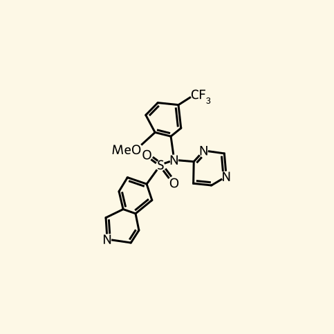 COc1ccc(C(F)(F)F)cc1N(c1ccncn1)S(=O)(=O)c1ccc2cnccc2c1